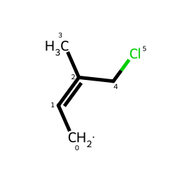 [CH2]C=C(C)CCl